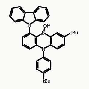 CC(C)(C)c1ccc(N2c3ccc(C(C)(C)C)cc3B(O)c3c2cccc3-n2c3ccccc3c3ccccc32)cc1